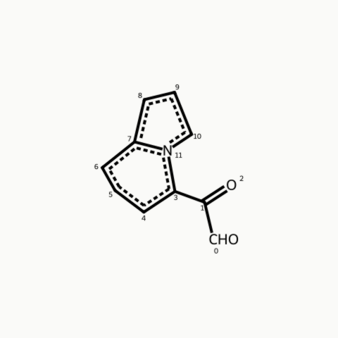 O=CC(=O)c1cccc2cccn12